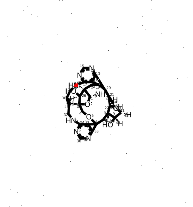 N[C@@H]1O[C@@H]2COC34C[C@H]5[C@@H](O)[C@@H]6Nc7ncnc(c7C(CC[C@H]5O6)C[C@@H]1[C@@H]2O)NC/C=C/CNc1ncnc3c14